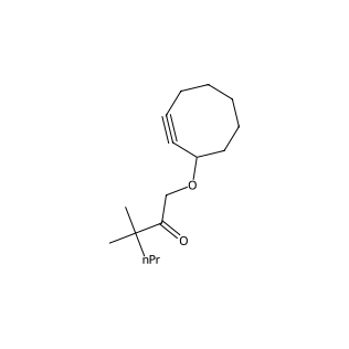 CCCC(C)(C)C(=O)COC1C#CCCCCC1